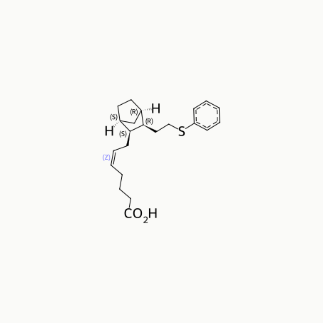 O=C(O)CCC/C=C\C[C@H]1[C@H]2CC[C@H](C2)[C@H]1CCSc1ccccc1